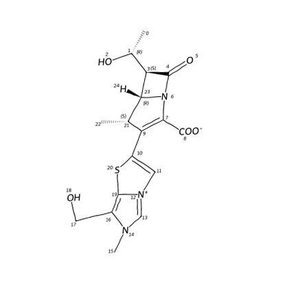 C[C@@H](O)[C@H]1C(=O)N2C(C(=O)[O-])=C(c3c[n+]4cn(C)c(CO)c4s3)[C@H](C)[C@H]12